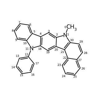 Cn1c2cc3c4ccccc4n(-c4ccccc4)c3cc2c2c3ccccc3ccc21